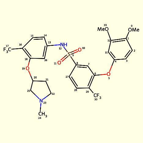 COc1ccc(Oc2cc(S(=O)(=O)Nc3ccc(C(F)(F)F)c(OC4CCN(C)C4)c3)ccc2C(F)(F)F)cc1OC